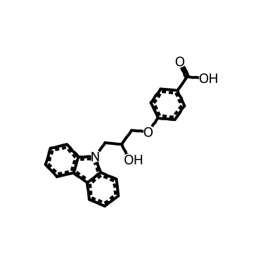 O=C(O)c1ccc(OCC(O)Cn2c3ccccc3c3ccccc32)cc1